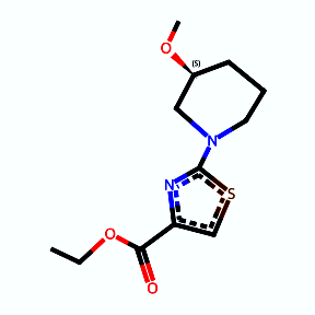 CCOC(=O)c1csc(N2CCC[C@H](OC)C2)n1